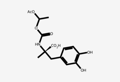 CC(=O)OC(C)OC(=O)N[C@@](C)(Cc1ccc(O)c(O)c1)C(=O)O